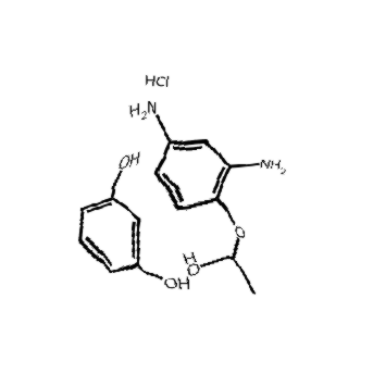 CC(O)Oc1ccc(N)cc1N.Cl.Oc1cccc(O)c1